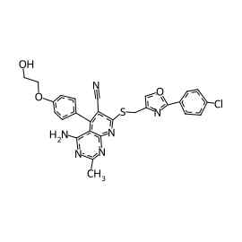 Cc1nc(N)c2c(-c3ccc(OCCO)cc3)c(C#N)c(SCc3coc(-c4ccc(Cl)cc4)n3)nc2n1